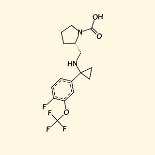 O=C(O)N1CCC[C@H]1CNC1(c2ccc(F)c(OC(F)(F)F)c2)CC1